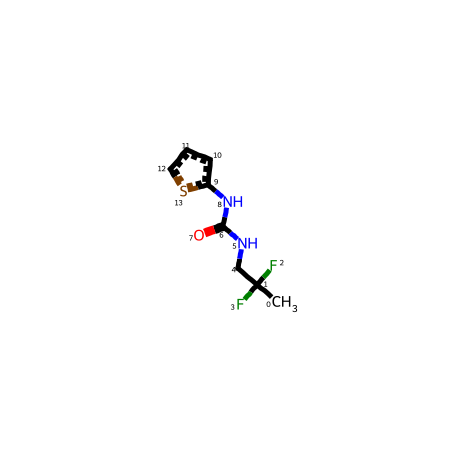 CC(F)(F)CNC(=O)Nc1cccs1